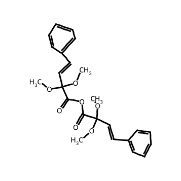 COC(C=Cc1ccccc1)(OC)C(=O)OC(=O)C(C=Cc1ccccc1)(OC)OC